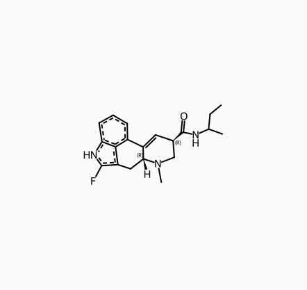 CCC(C)NC(=O)[C@@H]1C=C2c3cccc4[nH]c(F)c(c34)C[C@H]2N(C)C1